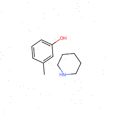 C1CCNCC1.Cc1cccc(O)c1